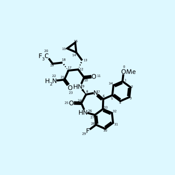 COc1cccc(C2=N[C@H](NC(=O)[C@@H](CC3CC3)[C@@H](CCC(F)(F)F)C(N)=O)C(=O)Nc3c(F)cccc32)c1